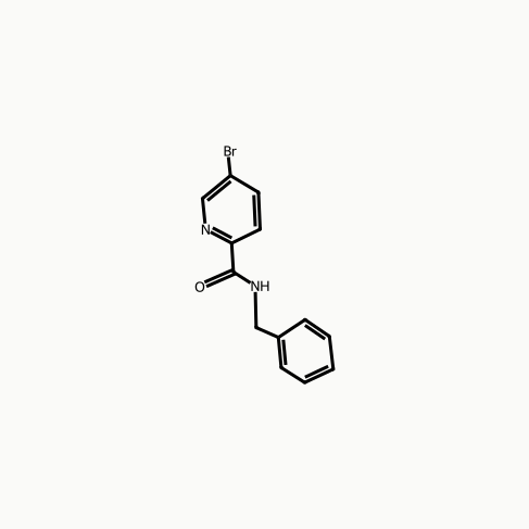 O=C(NCc1ccccc1)c1ccc(Br)cn1